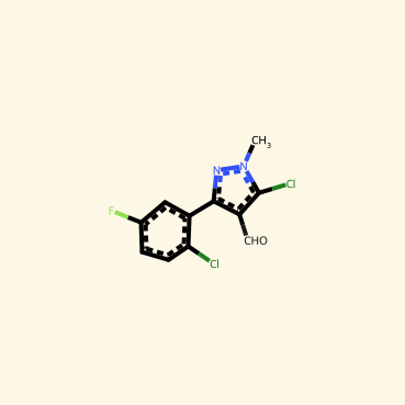 Cn1nc(-c2cc(F)ccc2Cl)c(C=O)c1Cl